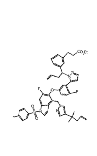 C=CCC(c1cccc(CCC(=O)OCC)c1)n1nccc1-c1cc(Oc2c(F)cc3c(ccn3S(=O)(=O)c3ccc(C)cc3)c2Cn2cc(C(C)(C)CC=C)cn2)ccc1F